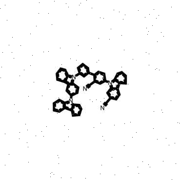 N#Cc1ccc2c3ccccc3n(-c3ccc(-c4cccc(-n5c6ccccc6c6cc(-n7c8ccccc8c8ccccc87)ccc65)c4)c(C#N)c3)c2c1